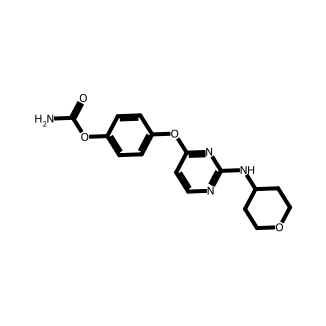 NC(=O)Oc1ccc(Oc2ccnc(NC3CCOCC3)n2)cc1